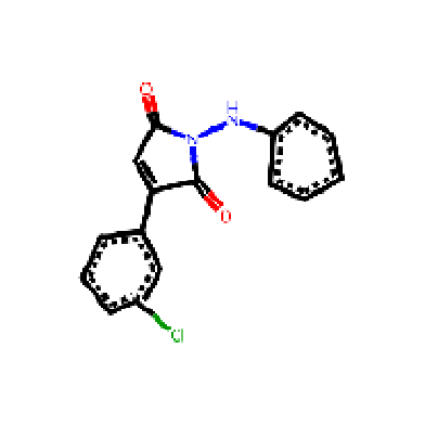 O=C1C=C(c2cccc(Cl)c2)C(=O)N1Nc1ccccc1